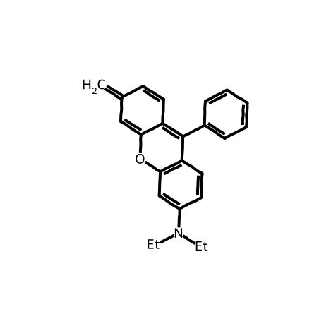 C=c1ccc2c(c1)Oc1cc(N(CC)CC)ccc1C=2c1ccccc1